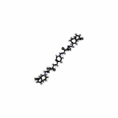 O=C(/C=C/c1ccc(/C=C/C(=O)N/N=C/c2ccc3cc[nH]c3c2)cc1)N/N=C/c1ccc2cc[nH]c2c1